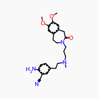 COc1cc2c(cc1OC)CC(=O)N(CCCN(C)CCc1ccc(N)c(C#N)c1)CC2